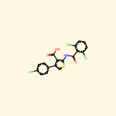 O=C(Nc1scc(-c2ccc(Cl)cc2)c1C(=O)O)c1c(Cl)cccc1Cl